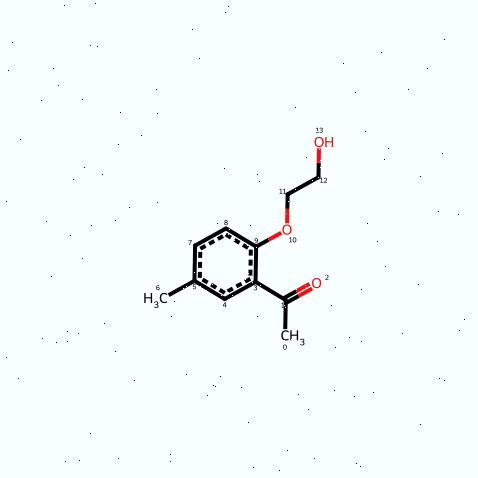 CC(=O)c1cc(C)ccc1OCCO